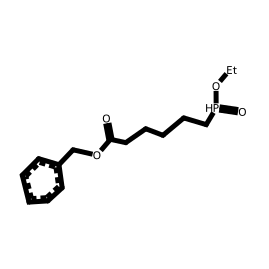 CCO[PH](=O)CCCCCC(=O)OCc1ccccc1